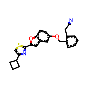 N#CCc1ccccc1COc1ccc2oc(-c3nc(C4CCC4)cs3)cc2c1